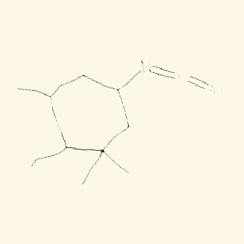 CC1CC(N=C=O)CC(C)(C)C1C